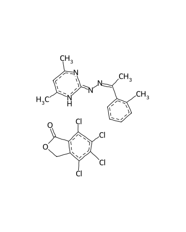 C/C(=N/N=c1\nc(C)cc(C)[nH]1)c1ccccc1C.O=C1OCc2c(Cl)c(Cl)c(Cl)c(Cl)c21